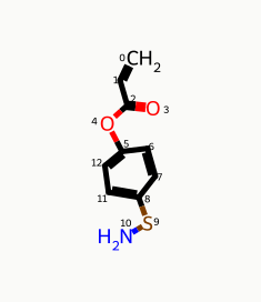 C=CC(=O)Oc1ccc(SN)cc1